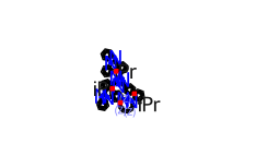 CC(C)c1ccccc1N1C/C=C\C=C/C/N=C\1c1cccc(-c2nc(-c3cccc(-c4nc5ccccc5n4-c4ccccc4C(C)C)c3)nc(-c3cccc(-c4nc5ccccc5n4-c4ccccc4C(C)C)c3)n2)c1